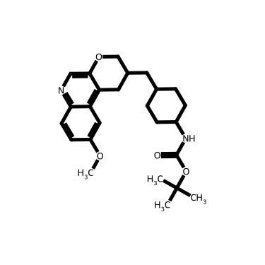 COc1ccc2ncc3c(c2c1)CC(CC1CCC(NC(=O)OC(C)(C)C)CC1)CO3